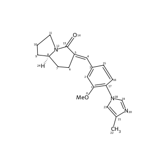 COc1cc(/C=C2\CC[C@H]3CCCN3C2=O)ccc1-n1cnc(C)c1